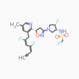 C#C/C=C(F)\C=C(\F)Cc1cc(C)cnc1[C@@H]1CC(N2C[C@H](F)[C@H](NS(=O)(=O)CF)C2)=NO1